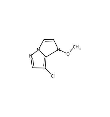 COn1ccn2ncc(Cl)c12